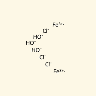 [Cl-].[Cl-].[Cl-].[Fe+3].[Fe+3].[OH-].[OH-].[OH-]